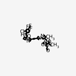 CNC(=O)C(CCC=O)N(C=O)C(=O)c1cc(N2CC(C#Cc3cnn(C4(C(=O)Nc5ccc(C(F)(F)F)cc5Cl)CCC4)c3)C2)ncc1C